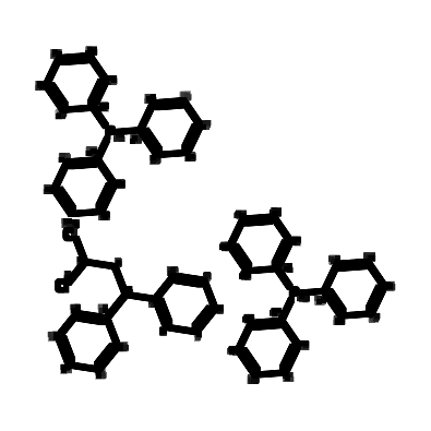 ClC(Cl)CC(c1ccccc1)c1ccccc1.c1ccc(P(c2ccccc2)c2ccccc2)cc1.c1ccc(P(c2ccccc2)c2ccccc2)cc1